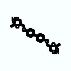 CC(=O)OC(CO)COc1ccc(-c2ccc(OCC(CO)OC(C)=O)cc2)cc1